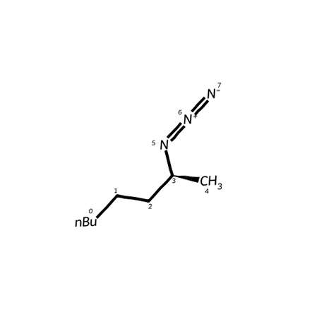 CCCCCC[C@H](C)N=[N+]=[N-]